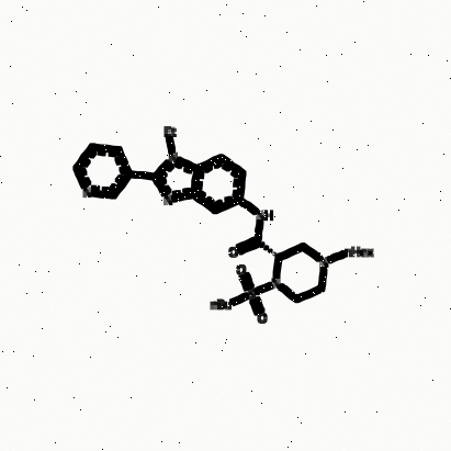 CCCCCCN1CCN(S(=O)(=O)CCCC)[C@H](C(=O)Nc2ccc3c(c2)nc(-c2cccnc2)n3CC)C1